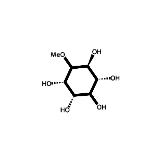 COC1[C@@H](O)[C@H](O)C(O)[C@H](O)[C@@H]1O